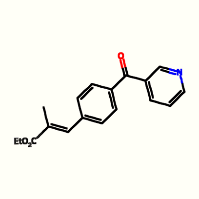 CCOC(=O)C(C)=Cc1ccc(C(=O)c2cccnc2)cc1